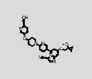 C#Cc1ccc(OC2CCN(c3ccc(-c4cc(OCC5(O)CC5)cc5ncc(C#N)n45)cn3)CC2)cn1